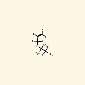 FC(F)=C(F)C(F)(F)OC(C(F)(F)F)(C(F)(F)F)C(F)(F)C(F)(F)F